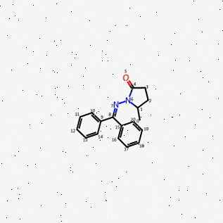 CC1CCC(=O)N1N=C(c1ccccc1)c1ccccc1